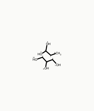 CCC(O)O.OCC(O)CO